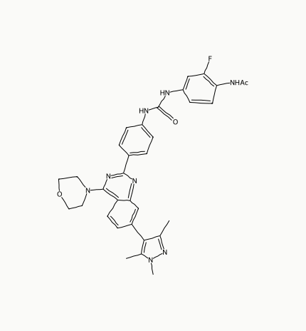 CC(=O)Nc1ccc(NC(=O)Nc2ccc(-c3nc(N4CCOCC4)c4ccc(-c5c(C)nn(C)c5C)cc4n3)cc2)cc1F